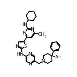 CC(=O)C1(c2ccccc2)CCN(Cc2cnc(Nc3ncc(-c4cc(C)nc(NC5CCCCC5)n4)s3)cn2)CC1